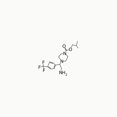 CC(C)COC(=O)N1CCN(C(CN)c2ccc(C(F)(F)F)cc2)CC1